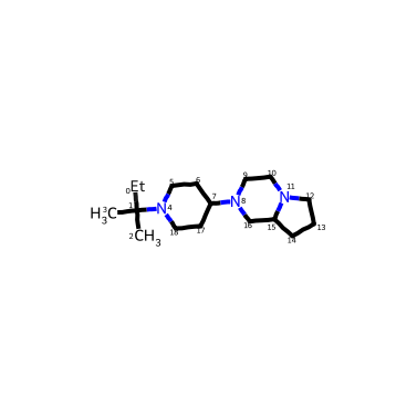 CCC(C)(C)N1CCC(N2CCN3CCCC3C2)CC1